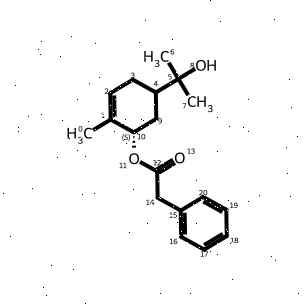 CC1=CCC(C(C)(C)O)C[C@@H]1OC(=O)Cc1ccccc1